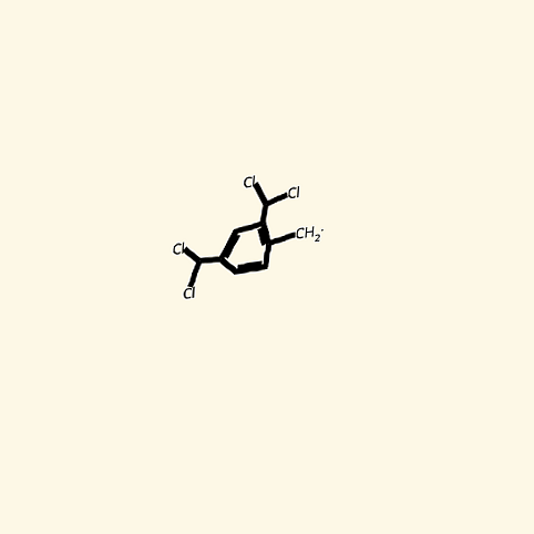 [CH2]c1ccc(C(Cl)Cl)cc1C(Cl)Cl